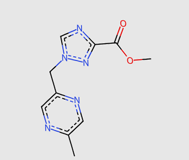 COC(=O)c1ncn(Cc2cnc(C)cn2)n1